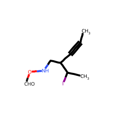 CC#CC(CNOC=O)C(C)I